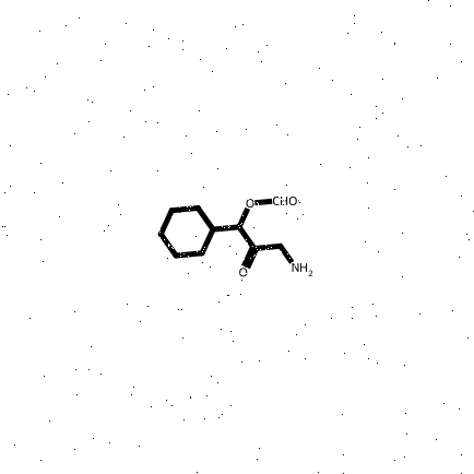 NCC(=O)C(O[C]=O)C1CCCCC1